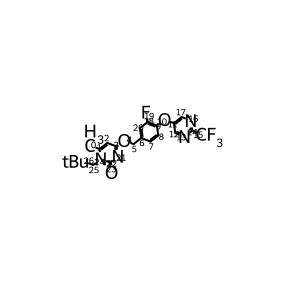 Cc1cc(OCc2ccc(Oc3cnc(C(F)(F)F)nc3)c(F)c2)nc(=O)n1CC(C)(C)C